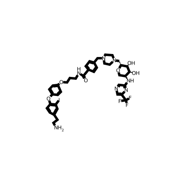 NCCc1ccc(Oc2ccc(OCCCNC(=O)c3ccc(CN4CCN(C[C@H]5OC[C@H](Nc6cncc(C(F)(F)F)n6)[C@@H](O)[C@H]5O)CC4)cc3)cc2)c(I)c1